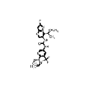 C=NN(/N=C\C)c1ncc(NC(=O)Nc2cnc3cc(F)nn3c2[C@H](C)OC)cc1C(F)(F)F